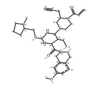 C=CC(=O)N1CCN(C2NC(OCC3CCCN3C)NC3C(=O)[C@]4(CCC32)Cc2cc(OC)ccc2CO4)CC1CC#N